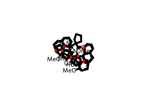 COc1ccccc1C(O)(c1ccccc1OC)[C@H](c1cccc2ccccc12)N(C(=O)C1(C(N)=O)CCCC1)[C@@H](c1cccc2ccccc12)C(O)(c1ccccc1OC)c1ccccc1OC